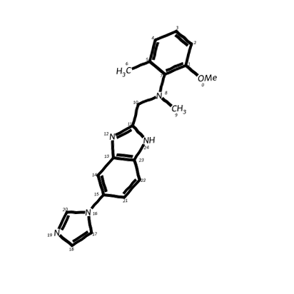 COc1cccc(C)c1N(C)Cc1nc2cc(-n3ccnc3)ccc2[nH]1